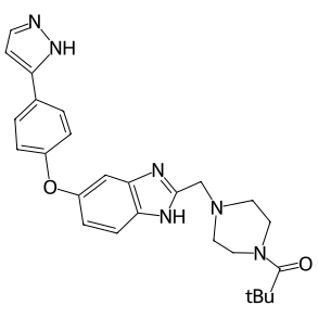 CC(C)(C)C(=O)N1CCN(Cc2nc3cc(Oc4ccc(-c5ccn[nH]5)cc4)ccc3[nH]2)CC1